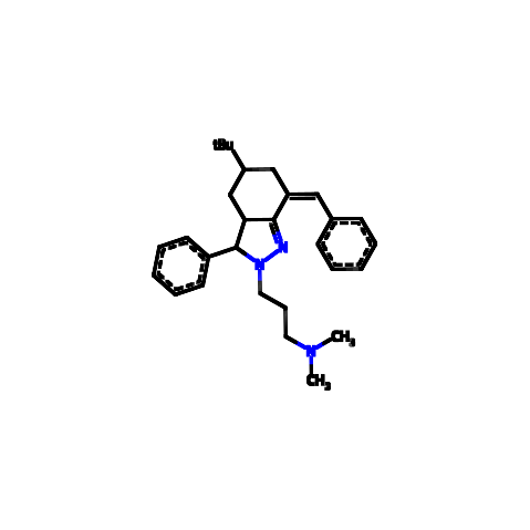 CN(C)CCCN1N=C2/C(=C\c3ccccc3)CC(C(C)(C)C)CC2C1c1ccccc1